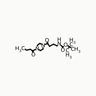 CCCC(=O)N1CCN(C(=O)CCCNC(=O)OC(C)(C)C)CC1